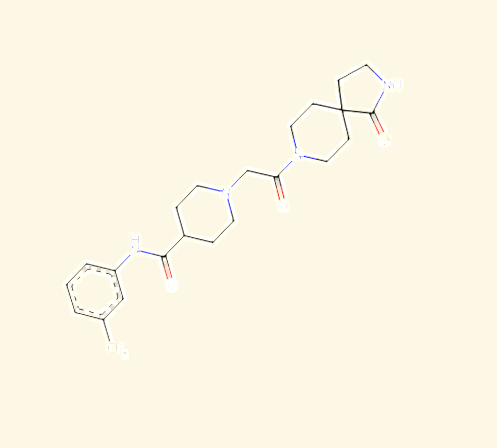 O=C(Nc1cccc(C(F)(F)F)c1)C1CCN(CC(=O)N2CCC3(CCNC3=O)CC2)CC1